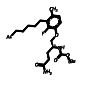 CC(=O)CCCCCc1c(C)ccc(OC[C@H](CCC(N)=O)NC(=O)OC(C)(C)C)c1F